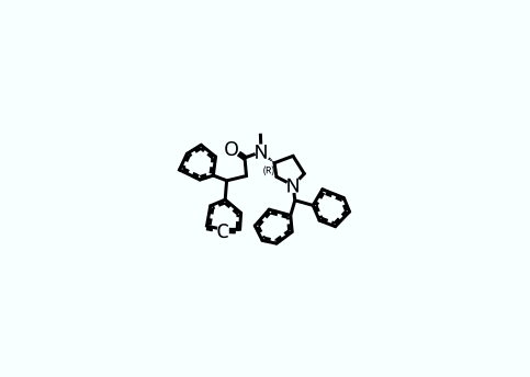 CN(C(=O)CC(c1ccccc1)c1ccccc1)[C@@H]1CCN(C(c2ccccc2)c2ccccc2)C1